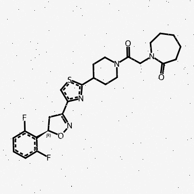 O=C(CN1CCCCCC1=O)N1CCC(c2nc(C3=NO[C@@H](c4c(F)cccc4F)C3)cs2)CC1